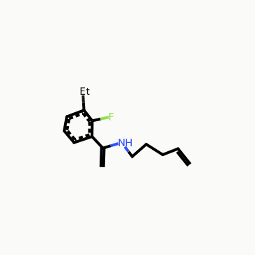 C=CCCCNC(=C)c1cccc(CC)c1F